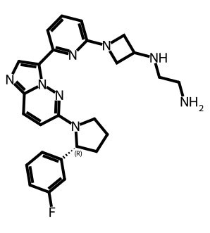 NCCNC1CN(c2cccc(-c3cnc4ccc(N5CCC[C@@H]5c5cccc(F)c5)nn34)n2)C1